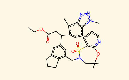 CCOC(=O)CC(c1cc2c(c(CN3CC(C)(C)Oc4ncccc4S3(=O)=O)c1)CCC2)c1ccc2c(nnn2C)c1C